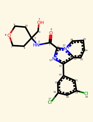 O=C(NC1(CO)CCOCC1)c1nc(-c2cc(Cl)cc(Cl)c2)c2ccccn12